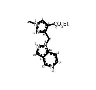 CCOC(=O)c1cn(C)nc1Cn1ncc2cnccc21